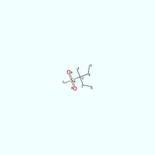 CCC(C)(CC)S(C)(=O)=O